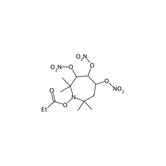 CCC(=O)ON1C(C)(C)CC(O[N+](=O)[O-])C(O[N+](=O)[O-])C(O[N+](=O)[O-])C1(C)C